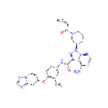 C=CC(=O)N1CCC[C@@H](n2nc(C(=O)Nc3ccc(Oc4ccn5ncnc5c4)c(C)c3)c3c(N)ncnc32)C1